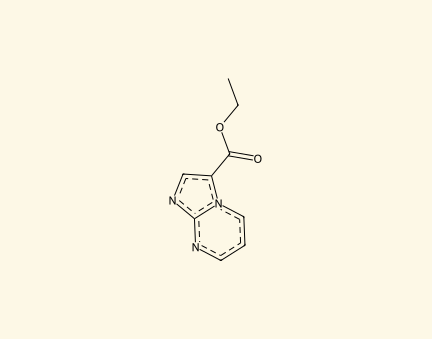 CCOC(=O)c1cnc2ncccn12